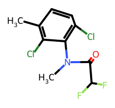 Cc1ccc(Cl)c(N(C)C(=O)C(F)F)c1Cl